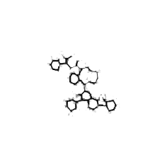 C=C(/C=c1\c(=C)sc2ccccc12)C1=c2\cccc\c2=C(c2cc3c(ccc4c5ccccc5oc43)c3c2sc2ccccc23)\C=C\CC\C=C\1